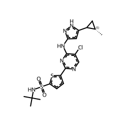 C[C@H]1CC1c1cc(Nc2nc(-c3ccc(S(=O)(=O)NC(C)(C)C)s3)ncc2Cl)n[nH]1